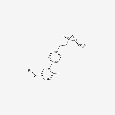 CCOC(=O)[C@@H]1C[C@@]1(F)CCc1ccc(-c2cc(OC(C)C)ccc2F)cc1